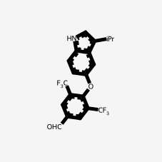 CC(C)c1c[nH]c2ccc(Oc3c(C(F)(F)F)cc(C=O)cc3C(F)(F)F)cc12